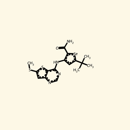 CSc1cc2ncnc(Nc3cc(C(C)(C)C)[se]c3C(N)=O)c2s1